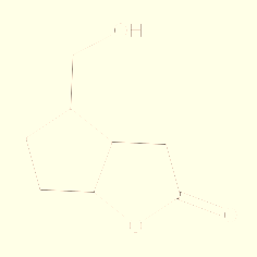 O=C1CC2C(CO)[CH]CC2O1